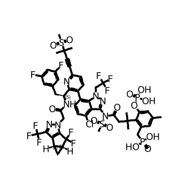 Cc1cc(CP(=O)(O)O)c(C(C)(C)CC(=O)N(c2nn(CC(F)(F)F)c3c(-c4ccc(C#CC(C)(C)S(C)(=O)=O)nc4[C@H](Cc4cc(F)cc(F)c4)NC(=O)Cn4nc(C(F)(F)F)c5c4C(F)(F)[C@@H]4C[C@H]54)ccc(Cl)c23)S(C)(=O)=O)c(OP(=O)(O)O)c1